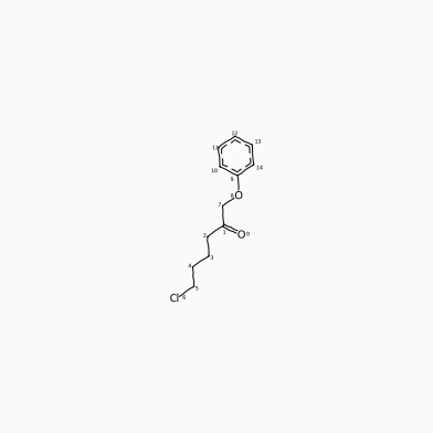 O=C(CCCCCl)COc1ccccc1